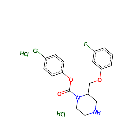 Cl.Cl.O=C(Oc1ccc(Cl)cc1)N1CCNCC1COc1cccc(F)c1